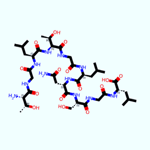 CC(C)C[C@H](NC(=O)CNC(=O)[C@H](CO)NC(=O)[C@H](CC(N)=O)NC(=O)[C@H](CC(C)C)NC(=O)CNC(=O)[C@@H](NC(=O)[C@H](CC(C)C)NC(=O)CNC(=O)[C@@H](N)[C@@H](C)O)[C@@H](C)O)C(=O)O